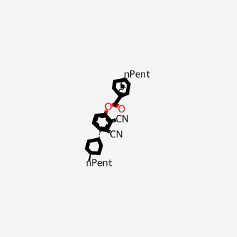 CCCCCC12CCC(C(=O)Oc3ccc([C@H]4CC[C@H](CCCCC)CC4)c(C#N)c3C#N)(CC1)CC2